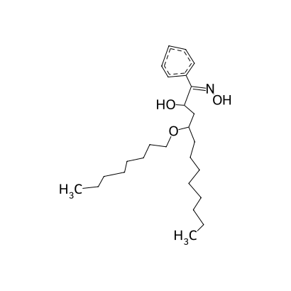 CCCCCCCCOC(CCCCCCCC)CC(O)C(=NO)c1ccccc1